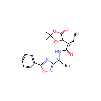 CC(C)C[C@@H](C(=O)N[C@H](c1noc(-c2ccccc2)n1)C(C)(C)C)C1OC(C)(C)OC1=O